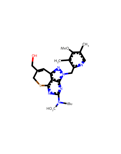 COc1c(C)cnc(Cn2nc3c4c(nc(N(C(=O)O)C(C)(C)C)nc42)SCC(CO)=C3)c1C